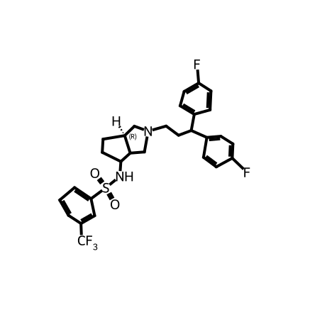 O=S(=O)(NC1CC[C@H]2CN(CCC(c3ccc(F)cc3)c3ccc(F)cc3)CC12)c1cccc(C(F)(F)F)c1